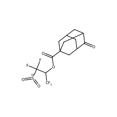 O=C1C2CC3CC1CC(C(=O)OC(C(F)(F)F)C(F)(F)[SH](=O)=O)(C3)C2